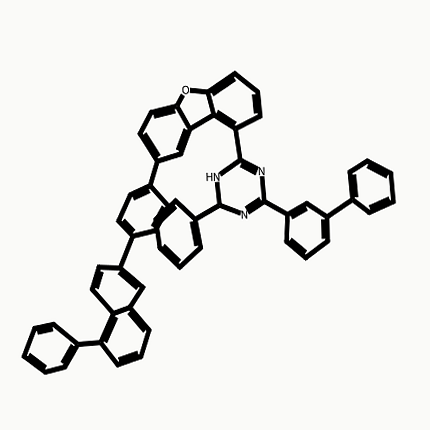 c1ccc(-c2cccc(C3=NC(c4ccccc4)NC(c4cccc5oc6ccc(-c7ccc(-c8ccc9c(-c%10ccccc%10)cccc9c8)cc7)cc6c45)=N3)c2)cc1